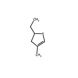 CCC1CC(C)=CS1